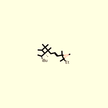 CCC(C)[C@@H](C)[C@@]1(C)C(C)C(C)(C)C1(C)C/C=C/C1(C)B(C)C1(C)CC